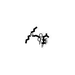 CCCCN(CCCC)CCC(=O)OC(C(C)C)C(F)(F)C(F)(F)F